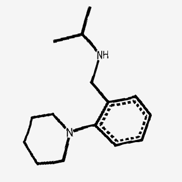 CC(C)NCc1ccccc1N1CCCCC1